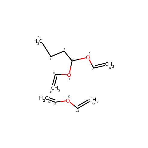 C=COC(CCC)OC=C.C=COC=C